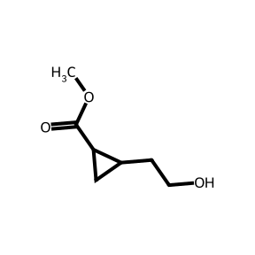 COC(=O)C1CC1CCO